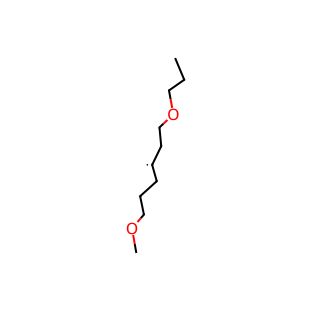 CCCOCC[CH]CCCOC